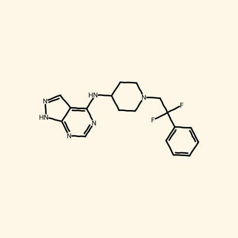 FC(F)(CN1CCC(Nc2ncnc3[nH]ncc23)CC1)c1ccccc1